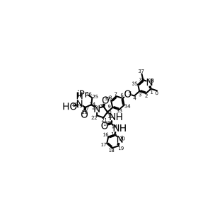 Cc1cc(COc2ccc([C@]3(NC(=O)Nc4ccccn4)CCN(C(CC(C)C)C(=O)NO)C3=O)cc2)cc(C)n1